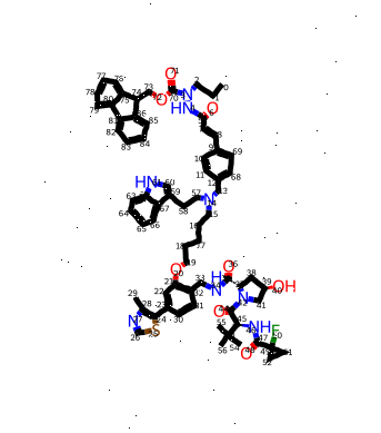 CCCN(NC(=O)/C=C/c1ccc(CN(CCCCCOc2cc(-c3scnc3C)ccc2CNC(=O)[C@@H]2C[C@@H](O)CN2C(=O)[C@@H](NC(=O)C2(F)CC2)C(C)(C)C)CCc2c[nH]c3ccccc23)cc1)C(=O)OCC1c2ccccc2-c2ccccc21